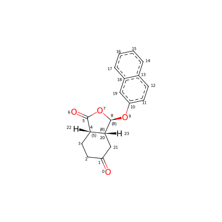 O=C1CC[C@@H]2C(=O)O[C@@H](Oc3ccc4ccccc4c3)[C@@H]2C1